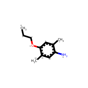 CCCOc1cc(C)c(N)cc1C